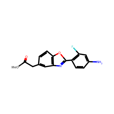 COC(=O)Cc1ccc2oc(-c3ccc(N)cc3F)nc2c1